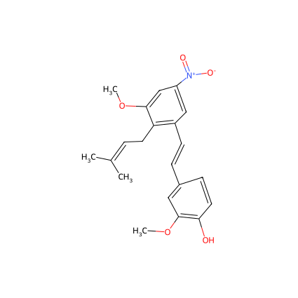 COc1cc(C=Cc2cc([N+](=O)[O-])cc(OC)c2CC=C(C)C)ccc1O